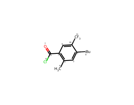 CCC(C)c1cc(C)c(C(=O)Cl)cc1C(F)(F)F